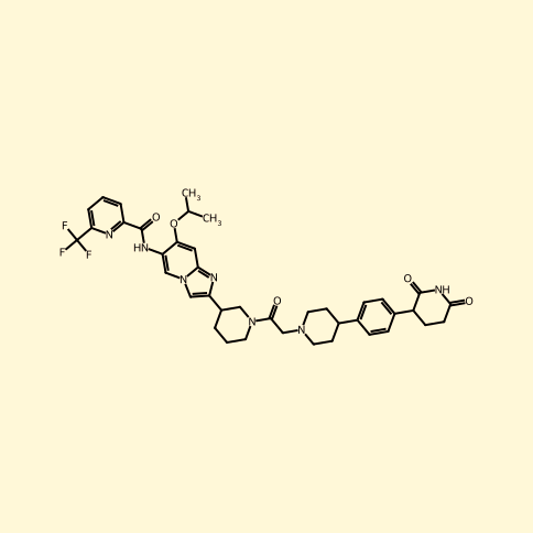 CC(C)Oc1cc2nc(C3CCCN(C(=O)CN4CCC(c5ccc(C6CCC(=O)NC6=O)cc5)CC4)C3)cn2cc1NC(=O)c1cccc(C(F)(F)F)n1